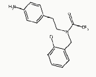 Nc1ccc(CCN(Cc2ccccc2Cl)C(=O)C(F)(F)F)cc1